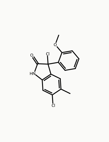 COc1ccccc1C1(Cl)C(=O)Nc2cc(Cl)c(C)cc21